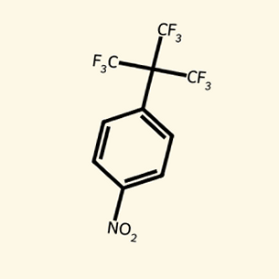 O=[N+]([O-])c1ccc(C(C(F)(F)F)(C(F)(F)F)C(F)(F)F)cc1